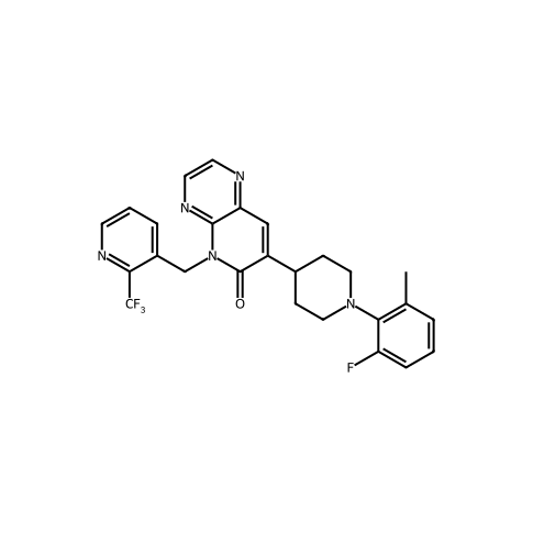 Cc1cccc(F)c1N1CCC(c2cc3nccnc3n(Cc3cccnc3C(F)(F)F)c2=O)CC1